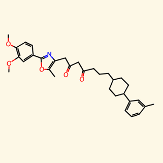 COc1ccc(-c2nc(CC(=O)CC(=O)CCCC3CCC(c4cccc(C)c4)CC3)c(C)o2)cc1OC